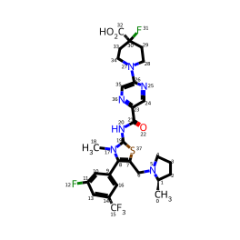 C[C@@H]1CCCN1CC1=C(c2cc(F)cc(C(F)(F)F)c2)N(C)C(NC(=O)c2cnc(N3CCC(F)(C(=O)O)CC3)cn2)S1